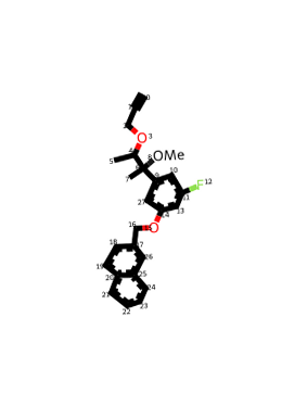 C#CCOC(C)C(C)(OC)c1cc(F)cc(OCc2ccc3ccccc3c2)c1